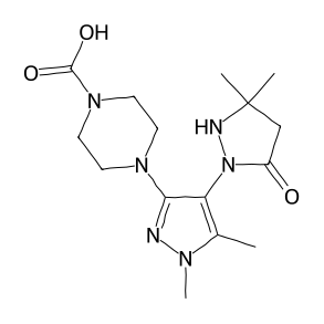 Cc1c(N2NC(C)(C)CC2=O)c(N2CCN(C(=O)O)CC2)nn1C